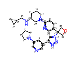 c1ncc(N2CCCC2)cc1-c1cn(C2(c3ccc(N4CCC[C@@H](NCC5CC5)C4)nc3)COC2)nn1